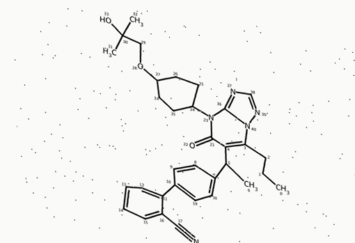 CCCc1c(C(C)c2ccc(-c3ccccc3C#N)cc2)c(=O)n(C2CCC(OCC(C)(C)O)CC2)c2ncnn12